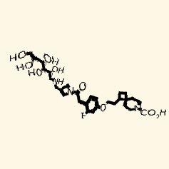 O=C(O)N1CCC2(CCC2CCOc2ccc(CC(=O)N3CC(CNC[C@H](O)[C@@H](O)[C@H](O)[C@H](O)CO)C3)c(F)c2)CC1